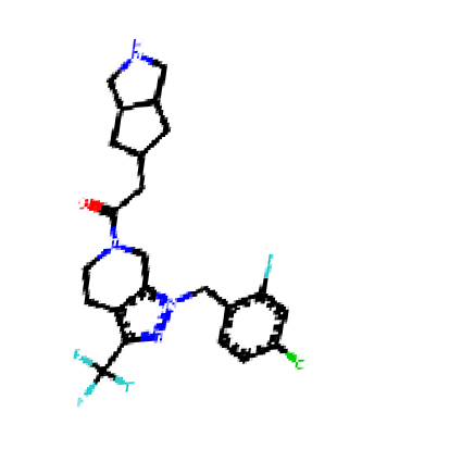 O=C(CC1CC2CNCC2C1)N1CCc2c(C(F)(F)F)nn(Cc3ccc(Cl)cc3F)c2C1